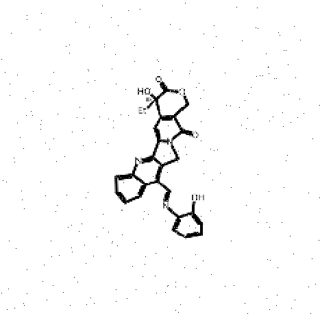 CC[C@@]1(O)C(=O)OCc2c1cc1n(c2=O)Cc2c-1nc1ccccc1c2C=Nc1ccccc1O